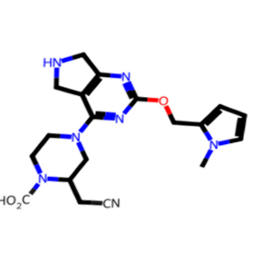 Cn1cccc1COc1nc2c(c(N3CCN(C(=O)O)C(CC#N)C3)n1)CNC2